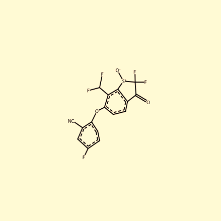 N#Cc1cc(F)ccc1Oc1ccc2c(c1C(F)F)[S+]([O-])C(F)(F)C2=O